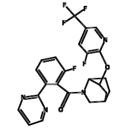 O=C(c1c(F)cccc1-c1ncccn1)N1CC2CCC1C(Oc1ncc(C(F)(F)F)cc1F)C2